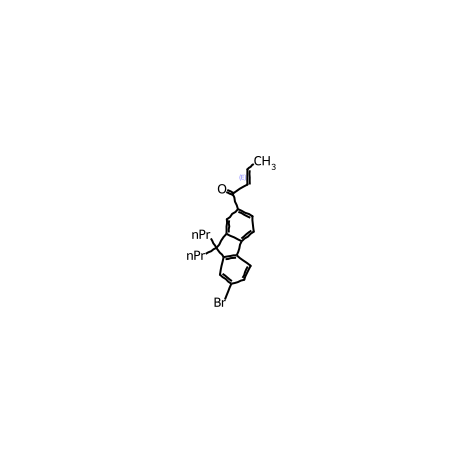 C/C=C/C(=O)c1ccc2c(c1)C(CCC)(CCC)c1cc(Br)ccc1-2